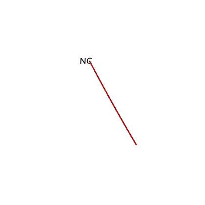 C#CC#CC#CC#CC#CC#CC#CC#CC#CC#CC#CC#CC#CC#CC#CC#CC#CC#CC#CC#CC#CC#CC#CC#CC#CC#CC#CC#CC#CC#CC#CC#CC#CC#CC#CC#CC#CC#CC#CC#CC#CC#CC#CC#CC#CC#CC#CC#CC#CC#CC#CC#CC#CC#CC#CC#CC#CC#CC#CC#CC#CC#CC#N